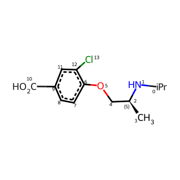 CC(C)N[C@@H](C)COc1ccc(C(=O)O)cc1Cl